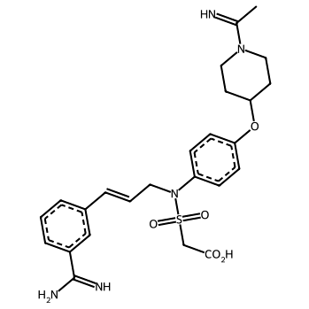 CC(=N)N1CCC(Oc2ccc(N(C/C=C/c3cccc(C(=N)N)c3)S(=O)(=O)CC(=O)O)cc2)CC1